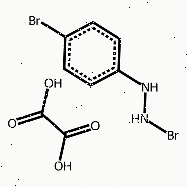 BrNNc1ccc(Br)cc1.O=C(O)C(=O)O